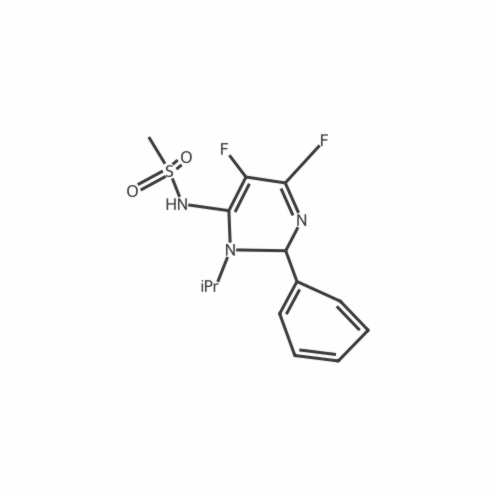 CC(C)N1C(NS(C)(=O)=O)=C(F)C(F)=NC1c1ccccc1